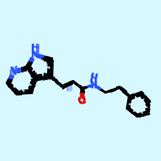 O=C(/C=C/c1c[nH]c2ncccc12)NCCc1ccccc1